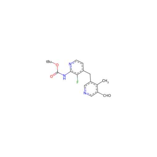 Cc1c(C=O)cncc1Cc1ccnc(NC(=O)OC(C)(C)C)c1F